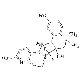 Cc1ccc2c(NC3c4cc(O)ccc4C(C)(C)CC3(O)C(F)(F)F)cccc2n1